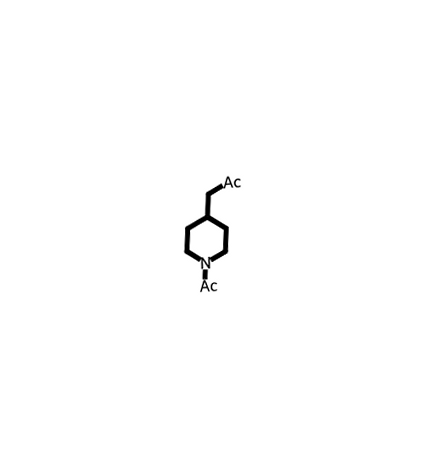 CC(=O)CC1CCN(C(C)=O)CC1